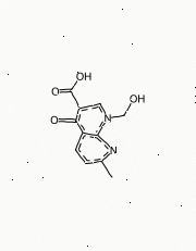 Cc1ccc2c(=O)c(C(=O)O)cn(CO)c2n1